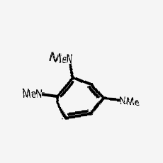 CNc1c[c]c(NC)c(NC)c1